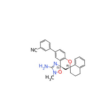 CN1O[C@]2(C[C@@]3(CCCc4ccccc43)Oc3ccc(-c4cccc(C#N)c4)cc32)N=C1N